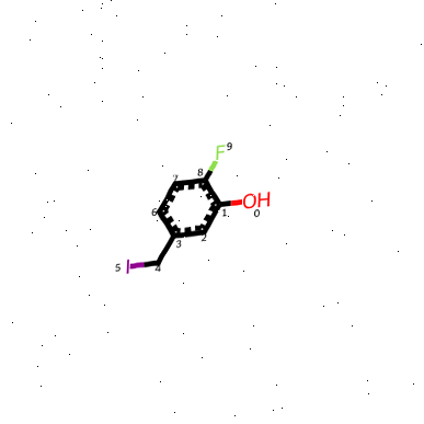 Oc1cc(CI)ccc1F